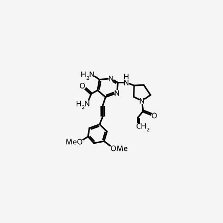 C=CC(=O)N1CCC(Nc2nc(N)c(C(N)=O)c(C#Cc3cc(OC)cc(OC)c3)n2)C1